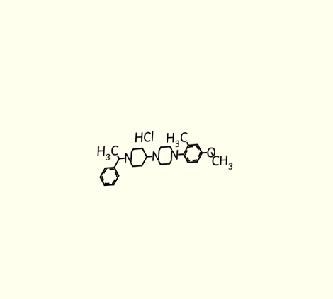 COc1ccc(N2CCN(C3CCN(C(C)c4ccccc4)CC3)CC2)c(C)c1.Cl